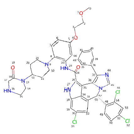 COCCOc1ccc(N2CCC(N3CCNCC3=O)CC2)c(NC(=O)c2[nH]c3cc(Cl)cc4c3c2-c2c(-c3ccccc3)ncn2[C@@H]4c2ccc(Cl)cc2Cl)c1